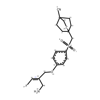 N#CC12CCC(CS(=O)(=O)c3ccc(OC/C(=C/F)CN)cc3)(CC1)CC2